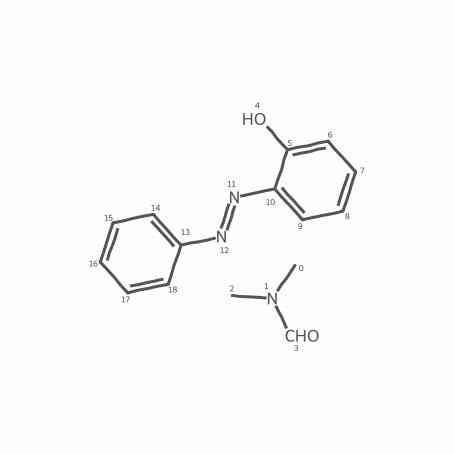 CN(C)C=O.Oc1ccccc1N=Nc1ccccc1